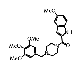 COc1ccc2[nH]c(C(=O)N3CCN(Cc4cc(OC)c(OC)c(OC)c4)CC3)cc2c1